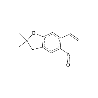 C=Cc1cc2c(cc1N=O)CC(C)(C)O2